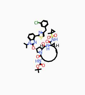 CC(C)n1c(O[C@@H]2C[C@H]3C(=O)N[C@]4(C(=O)NS(=O)(=O)C5(C)CC5)C[C@H]4/C=C\CCCCC[C@H](NC(=O)OC(C)(C)C)C(=O)N3C2)nc2c(-c3nc(Cc4cccc(Cl)c4)cs3)cccc21